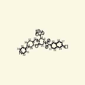 CC(C)(C)OC(=O)C1CN(S(=O)(=O)c2ccc3cc(Cl)ccc3c2)CC(=O)N1CC1CCN(c2ccncc2)CC1